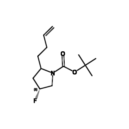 C=CCCC1C[C@@H](F)CN1C(=O)OC(C)(C)C